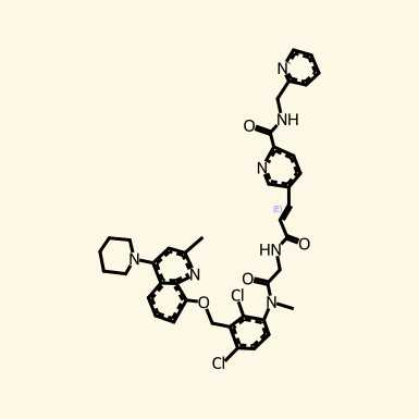 Cc1cc(N2CCCCC2)c2cccc(OCc3c(Cl)ccc(N(C)C(=O)CNC(=O)/C=C/c4ccc(C(=O)NCc5ccccn5)nc4)c3Cl)c2n1